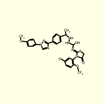 CC(NNC(O)/N=C1\SCC(=O)N1c1cc(Cl)ccc1OC(F)(F)F)c1ccc(-c2ncn(-c3ccc(OC(F)(F)F)cc3)n2)cc1